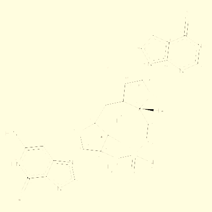 Nc1cc2c(ncn2[C@@H]2OC3CC4[C@@H](COP(=O)(S)O[C@@H]2[C@@H]3F)O[C@@H](n2ccc3c(=O)[nH]cnc32)[C@H]4F)c(=O)[nH]1